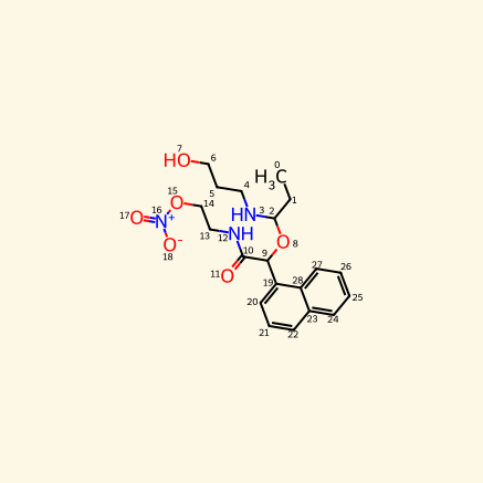 CCC(NCCCO)OC(C(=O)NCCO[N+](=O)[O-])c1cccc2ccccc12